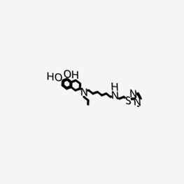 CCCN(CCCCCCNCCSc1nccn1C)C1CCc2c(ccc(O)c2O)C1